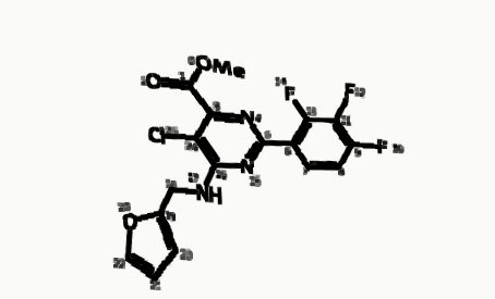 COC(=O)c1nc(-c2ccc(F)c(F)c2F)nc(NCc2ccco2)c1Cl